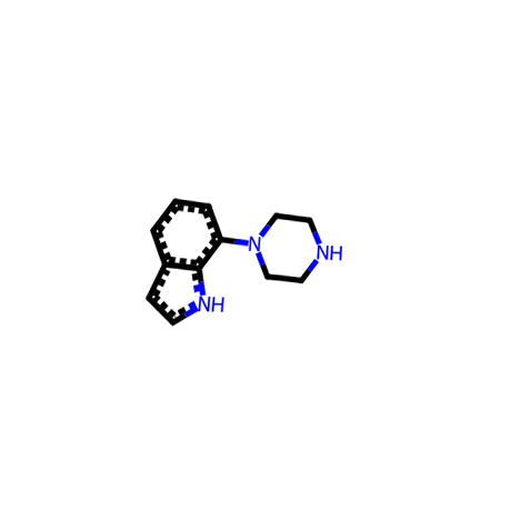 c1cc(N2CCNCC2)c2[nH]ccc2c1